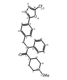 CSN1CCC(C(=O)N(Cc2ccc(-c3nnc(C(F)(F)F)o3)cc2)c2ccccc2)CC1